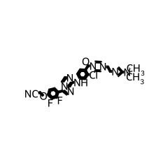 CN(C)C1CN(CCN2CCN(C(=O)c3ccc(Nc4nccn5c(-c6ccc(OCC#N)c(F)c6F)cnc45)cc3Cl)CC2)C1